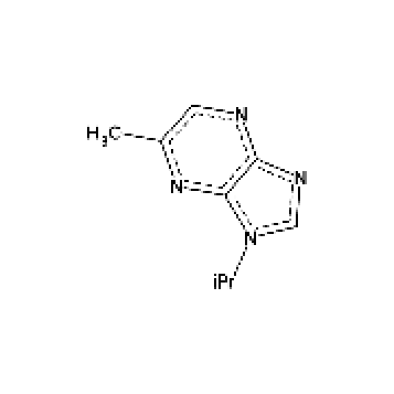 Cc1cnc2ncn(C(C)C)c2n1